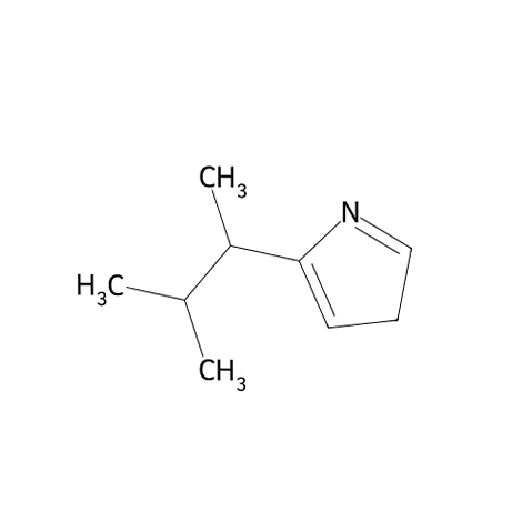 CC(C)C(C)C1=CCC=N1